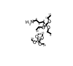 CCO[Si](CCCN)(OCC)OCC.CO[Si](OC)(OC)OC